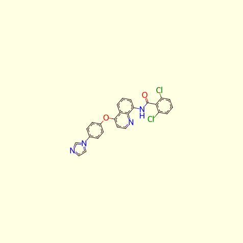 O=C(Nc1cccc2c(Oc3ccc(-n4ccnc4)cc3)ccnc12)c1c(Cl)cccc1Cl